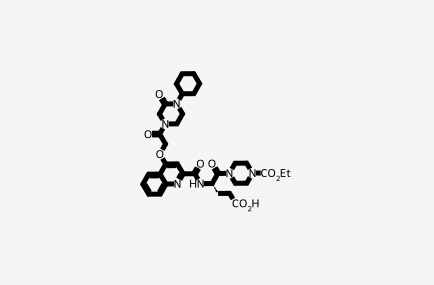 CCOC(=O)N1CCN(C(=O)[C@H](CCC(=O)O)NC(=O)c2cc(OCC(=O)N3CCN(C4CCCCC4)C(=O)C3)c3ccccc3n2)CC1